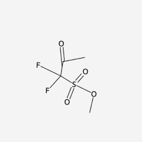 COS(=O)(=O)C(F)(F)C(C)=O